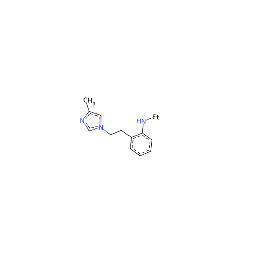 CCNc1ccccc1CCn1cnc(C)c1